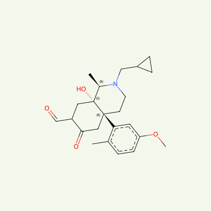 COc1ccc(C)c([C@]23CCN(CC4CC4)[C@H](C)[C@]2(O)CC(C=O)C(=O)C3)c1